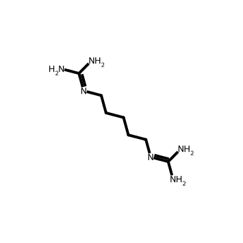 NC(N)=NCCCCCN=C(N)N